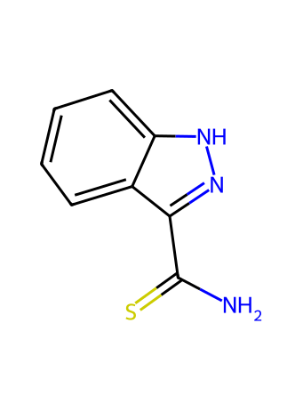 NC(=S)c1n[nH]c2ccccc12